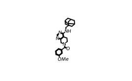 COc1cccc(C(=O)N2CCc3c(ncnc3NCC34CC5CC(CC(C5)C3)C4)C2)c1